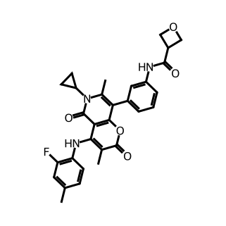 Cc1ccc(Nc2c(C)c(=O)oc3c(-c4cccc(NC(=O)C5COC5)c4)c(C)n(C4CC4)c(=O)c23)c(F)c1